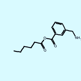 CCCCCC(=O)OC(=O)c1cccc(CN)c1